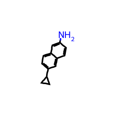 Nc1ccc2cc(C3CC3)ccc2c1